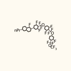 CCCc1ccc2c(F)c(-c3cc(F)c(C(F)(F)Oc4cc(F)c(C(F)(F)Oc5ccc(C(F)(F)OC(F)(F)F)c(F)c5)c(F)c4)c(F)c3)ccc2c1